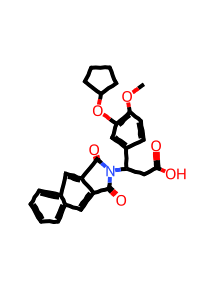 COc1ccc(C(CC(=O)O)N2C(=O)c3cc4ccccc4cc3C2=O)cc1OC1CCCC1